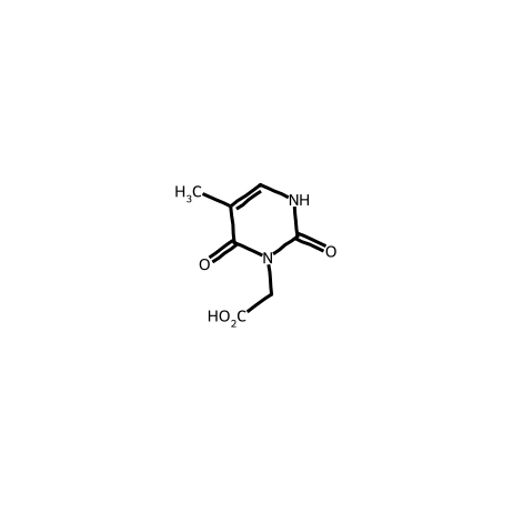 Cc1c[nH]c(=O)n(CC(=O)O)c1=O